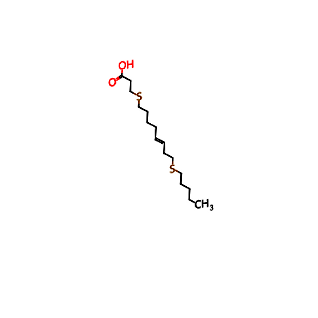 CCCCCSCCC=CCCCCSCCC(=O)O